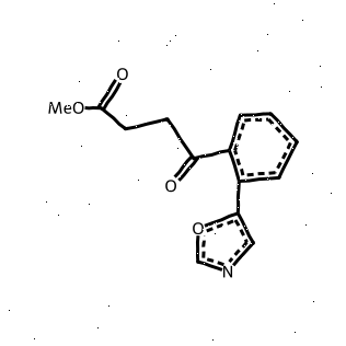 COC(=O)CCC(=O)c1ccccc1-c1cnco1